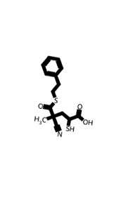 CC(C#N)(CC(S)C(=O)O)C(=O)SCCc1ccccc1